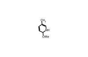 COC1C=CC(C)=CN1